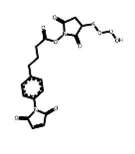 O=C(CCCc1ccc(N2C(=O)C=CC2=O)cc1)ON1C(=O)CC(SOOO)C1=O